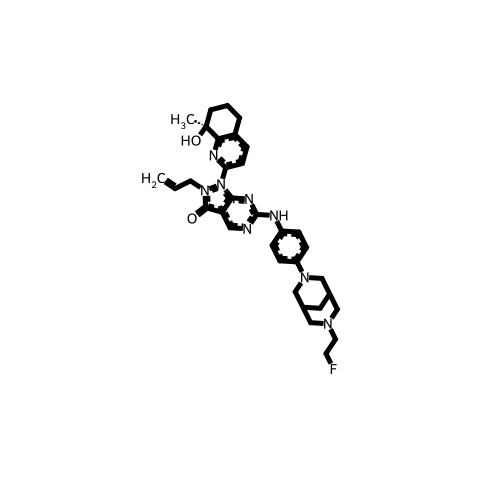 C=CCn1c(=O)c2cnc(Nc3ccc(N4CC5CC(CN(CCF)C5)C4)cc3)nc2n1-c1ccc2c(n1)[C@@](C)(O)CCC2